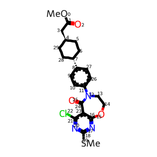 COC(=O)C[C@H]1CC[C@H](c2ccc(N3CCOc4nc(SC)nc(Cl)c4C3=O)cc2)CC1